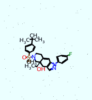 CC(O)[C@]12Cc3cnn(-c4ccc(F)cc4)c3C=C1CCN([SH](C)(=O)c1ccc(C(C)(C)C)cc1)C2